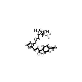 C[Si](C)(C)CCOCn1ccnc1C=CC(O)c1ccc(C#N)cc1